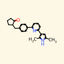 Cc1cc(-c2cccc(-c3ccc(CC4CCCC4=O)cc3)n2)c(C)[nH]1